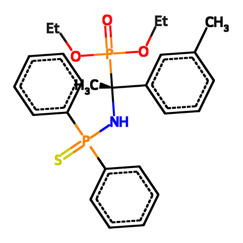 CCOP(=O)(OCC)[C@@](C)(NP(=S)(c1ccccc1)c1ccccc1)c1cccc(C)c1